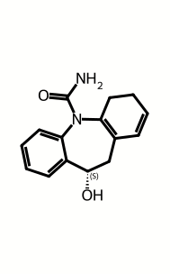 NC(=O)N1C2=C(C=CCC2)C[C@H](O)c2ccccc21